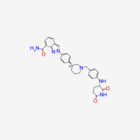 NC(=O)c1cccc2cn(-c3ccc([C@@H]4CCCN(Cc5ccc(NC6CCC(=O)NC6=O)cc5)C4)cc3)nc12